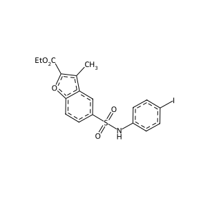 CCOC(=O)c1oc2ccc(S(=O)(=O)Nc3ccc(I)cc3)cc2c1C